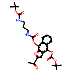 CC(=O)c1cc2c(OC(=O)OC(C)(C)C)c3ccccc3c(OC(=O)NCCCNC(=O)OC(C)(C)C)c2o1